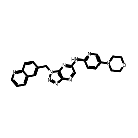 c1cnc2ccc(Cn3nnc4ncc(Nc5ccc(N6CCOCC6)cn5)nc43)cc2c1